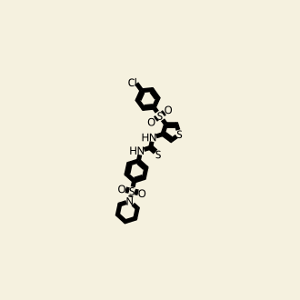 O=S(=O)(c1ccc(Cl)cc1)c1cscc1NC(=S)Nc1ccc(S(=O)(=O)N2CCCCC2)cc1